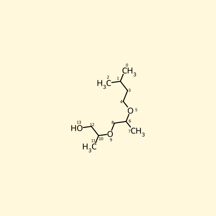 CC(C)CCOC(C)COC(C)CO